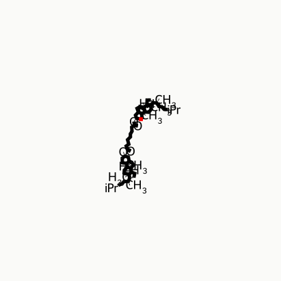 CC(C)CCC[C@@H](C)[C@H]1CC[C@H]2[C@@H]3CC=C4C[C@@H](OC(=O)CCCCCCCC(=O)O[C@H]5CC[C@@]6(C)C(=CC[C@H]7[C@@H]8CC[C@H]([C@H](C)CCCC(C)C)[C@@]8(C)CC[C@@H]76)C5)CC[C@]4(C)[C@H]3CC[C@]12C